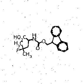 CC(C)(F)CC(NC(=O)OCC1c2ccccc2-c2ccccc21)C(=O)O